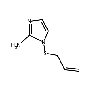 C=CCSn1ccnc1N